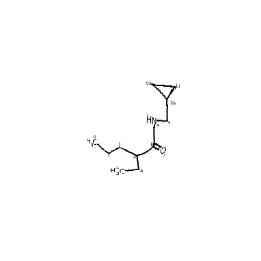 CCCC(CC)C(=O)NCC1CC1